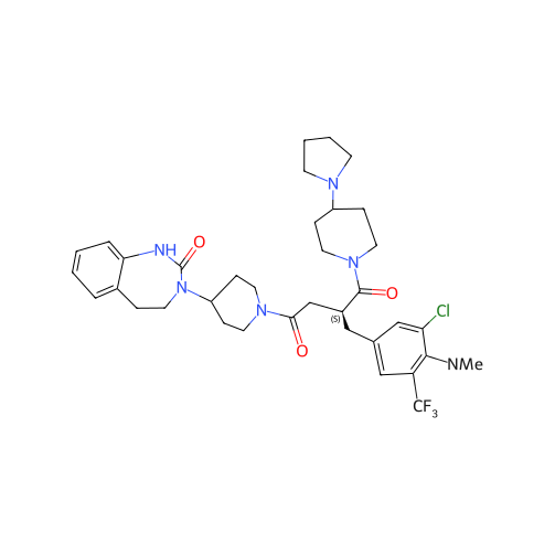 CNc1c(Cl)cc(C[C@@H](CC(=O)N2CCC(N3CCc4ccccc4NC3=O)CC2)C(=O)N2CCC(N3CCCC3)CC2)cc1C(F)(F)F